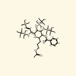 CC(=O)OCCCC1OC([C@H](C=C[Si](C)(C)C)O[Si](C)(C)C(C)(C)C)C(O[Si](C)(C)C(C)(C)C)C(O[Si](C)(C)C(C)(C)C)C1OC(=O)c1ccccc1